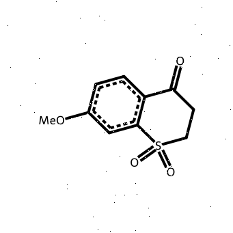 COc1ccc2c(c1)S(=O)(=O)CCC2=O